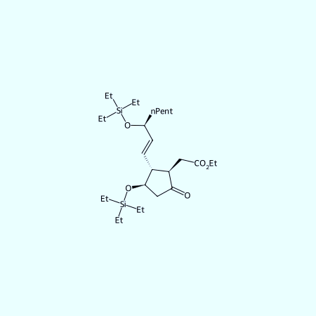 CCCCC[C@@H](/C=C/[C@H]1[C@H](O[Si](CC)(CC)CC)CC(=O)[C@@H]1CC(=O)OCC)O[Si](CC)(CC)CC